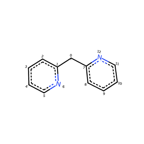 [CH](c1ccccn1)c1ccccn1